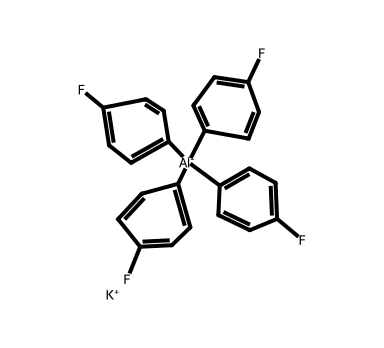 Fc1cc[c]([Al-]([c]2ccc(F)cc2)([c]2ccc(F)cc2)[c]2ccc(F)cc2)cc1.[K+]